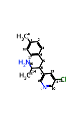 Cc1ccc(CC(c2cncc(Cl)c2)C(C)N)cc1